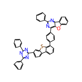 c1ccc(-c2nc(-c3ccccc3)nc(-c3ccc4c(c3)sc3c(-c5ccc(-c6nc(-c7ccccc7)nc7c6oc6ccccc67)cc5)cccc34)n2)cc1